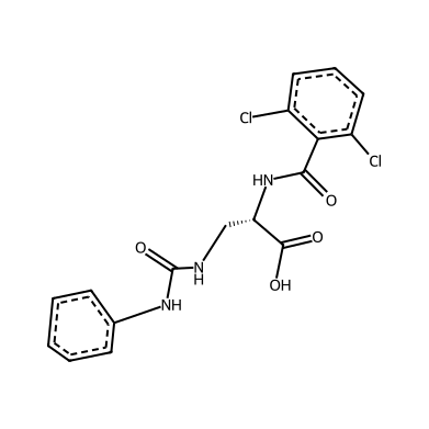 O=C(NC[C@H](NC(=O)c1c(Cl)cccc1Cl)C(=O)O)Nc1ccccc1